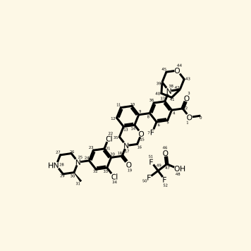 COC(=O)c1cc(F)c(-c2cccc3c2OCN(C(=O)c2c(Cl)cc(N4CCNC[C@@H]4C)cc2Cl)C3)cc1N1C2CCC1COC2.O=C(O)C(F)(F)F